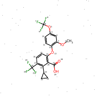 COc1cc(OC(F)(F)F)ccc1Oc1ccc(C(F)(F)F)c(C2CC2)c1C(=O)O